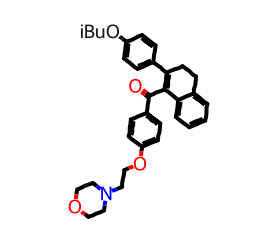 CC(C)COc1ccc(C2=C(C(=O)c3ccc(OCCN4CCOCC4)cc3)c3ccccc3CC2)cc1